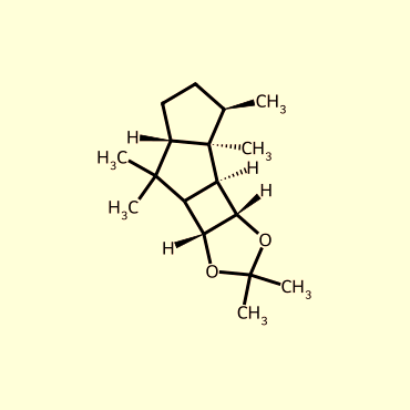 C[C@@H]1CC[C@H]2C(C)(C)C3[C@H]4OC(C)(C)O[C@H]4[C@@H]3[C@]12C